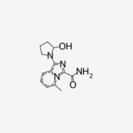 Cc1cccc2c(N3CCCC3O)nc(C(N)=O)n12